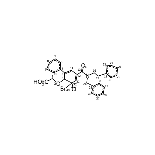 O=C(O)COC1C(c2ccccc2)=CC(C(=O)N(CCc2ccccc2)Cc2ccccc2)=CC1(Cl)Br